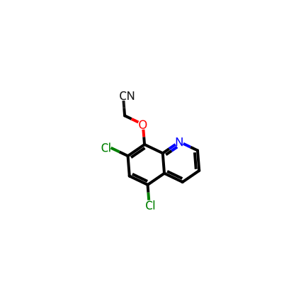 N#CCOc1c(Cl)cc(Cl)c2cccnc12